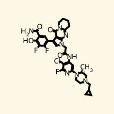 C[C@H]1CN(CC2CC2)CCN1c1cc(NC(=O)Cn2cc(-c3cc(C(N)=O)c(O)c(F)c3F)c3c(=O)n4c(nc32)CCCC4)c(Cl)c(F)n1